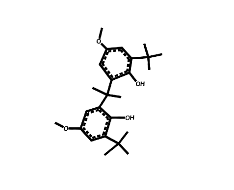 COc1cc(C(C)(C)C)c(O)c(C(C)(C)c2cc(OC)cc(C(C)(C)C)c2O)c1